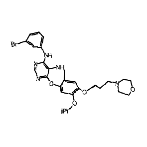 CC(C)Oc1cc2c(cc1OCCCN1CCOCC1)CNc1c(Nc3cccc(Br)c3)ncnc1O2